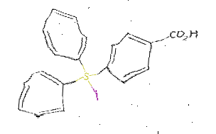 O=C(O)c1ccc(S(I)(c2ccccc2)c2ccccc2)cc1